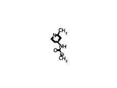 COC(=O)Nc1ccnc(C)c1